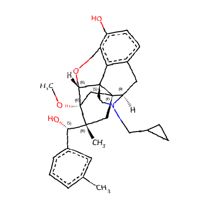 CO[C@]12C[C@@]3(C[C@]1(C)[C@@H](O)c1cccc(C)c1)[C@H]1Cc4ccc(O)c5c4[C@@]3(CCN1CC1CC1)[C@H]2O5